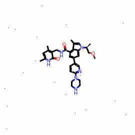 COC[C@H](C)n1cc(C)c2c(C(=O)NCc3c(C)cc(C)[nH]c3=O)cc(-c3ccc(N4CCNCC4)nc3)cc21